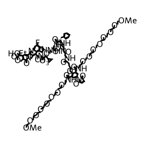 CC[C@@]1(O)C(=O)OCc2c1cc1n(c2=O)Cc2c-1nc1cc(F)c3c(c1c2[C@H](C)NC(=O)[C@H](OCNC(=O)CNC(=O)[C@H](Cc1ccccc1)NC(=O)CNC(=O)CNC(=O)CCCOc1c(C(=O)NCCOCCOCCOCCOCCOCCOCCOCCOC)cc(N2C(=O)C=CC2=O)cc1C(=O)NCCOCCOCCOCCOCCOCCOCCOCCOC)C1CC1)CCC3